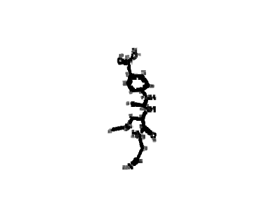 CSCC(NC(=S)Nc1ccc([N+](=O)[O-])cc1)C(=O)NCC#N